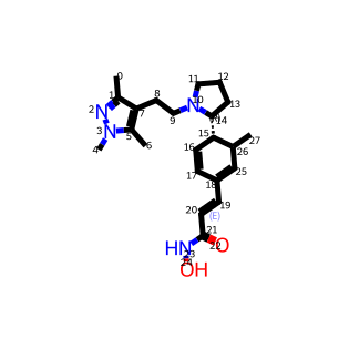 Cc1nn(C)c(C)c1CCN1CCC[C@@H]1C1C=CC(/C=C/C(=O)NO)=CC1C